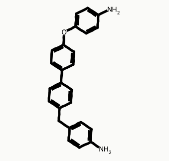 Nc1ccc(Cc2ccc(-c3ccc(Oc4ccc(N)cc4)cc3)cc2)cc1